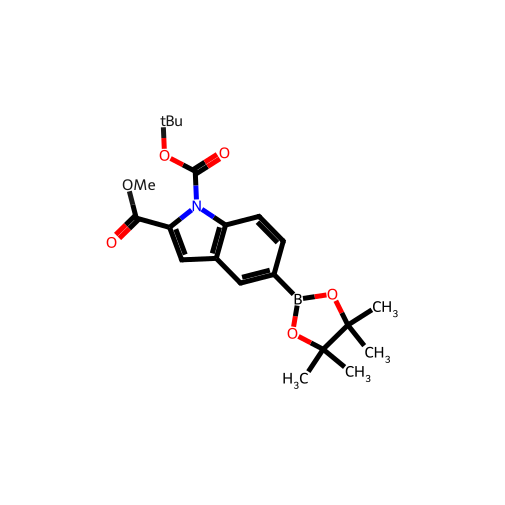 COC(=O)c1cc2cc(B3OC(C)(C)C(C)(C)O3)ccc2n1C(=O)OC(C)(C)C